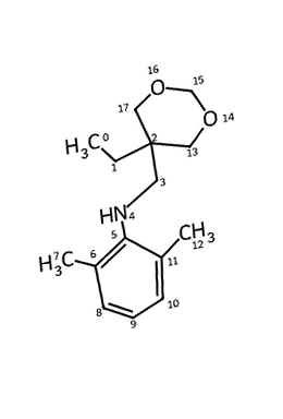 CCC1(CNc2c(C)cccc2C)COCOC1